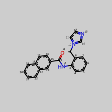 O=C(Nc1[c]cccc1Cn1ccnc1)c1ccc2ccccc2c1